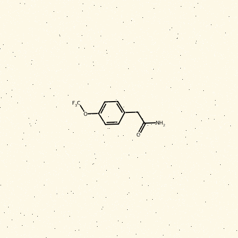 NC(=O)[CH]c1ccc(OC(F)(F)F)cc1